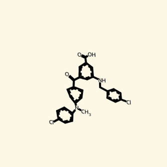 CN(c1ccc(Cl)cc1)c1ccc(C(=O)c2cc(NCc3ccc(Cl)cc3)cc(C(=O)O)c2)cc1